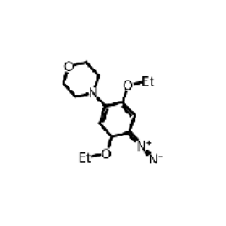 CCOC1=CC(=[N+]=[N-])C(OCC)C=C1N1CCOCC1